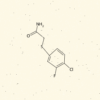 NC(=O)CSc1ccc(Cl)c(F)c1